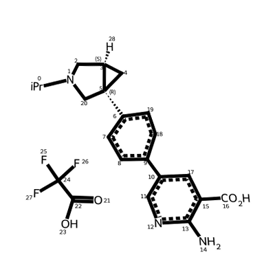 CC(C)N1C[C@H]2C[C@@]2(c2ccc(-c3cnc(N)c(C(=O)O)c3)cc2)C1.O=C(O)C(F)(F)F